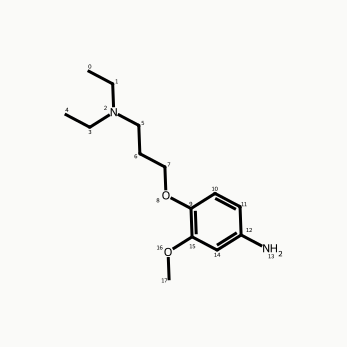 CCN(CC)CCCOc1ccc(N)cc1OC